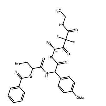 COc1ccc(C(NC(=O)C(CO)NC(=O)c2ccccc2)C(=O)N[C@H](C(=O)C(F)(F)C(=O)NCC(F)(F)F)C(C)C)cc1